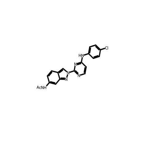 CC(=O)Nc1ccc2cn(-c3nccc(Nc4ccc(Cl)cc4)n3)nc2c1